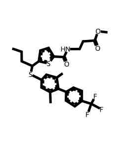 CCCC(Sc1cc(C)c(-c2ccc(C(F)(F)F)cc2)c(C)c1)c1ccc(C(=O)NCCC(=O)OC)s1